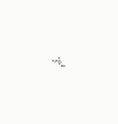 N.[Mn].[SiH4].[V]